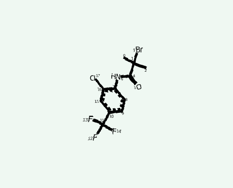 CC(C)(Br)C(=O)Nc1ccc(C(F)(F)F)cc1Cl